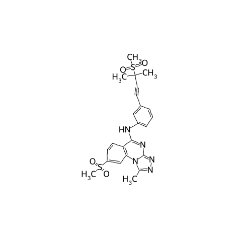 Cc1nnc2nc(Nc3cccc(C#CC(C)(C)S(C)(=O)=O)c3)c3ccc(S(C)(=O)=O)cc3n12